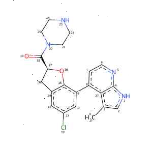 Cc1c[nH]c2nccc(-c3cc(Cl)cc4c3O[C@H](C(=O)N3CCNCC3)C4)c12